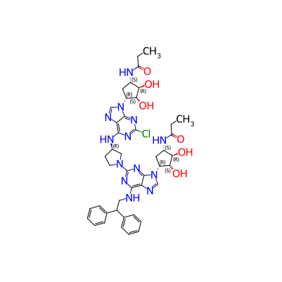 CCC(=O)N[C@H]1C[C@@H](n2cnc3c(NCC(c4ccccc4)c4ccccc4)nc(N4CC[C@@H](Nc5nc(Cl)nc6c5ncn6[C@@H]5C[C@H](NC(=O)CC)[C@@H](O)[C@H]5O)C4)nc32)[C@H](O)[C@@H]1O